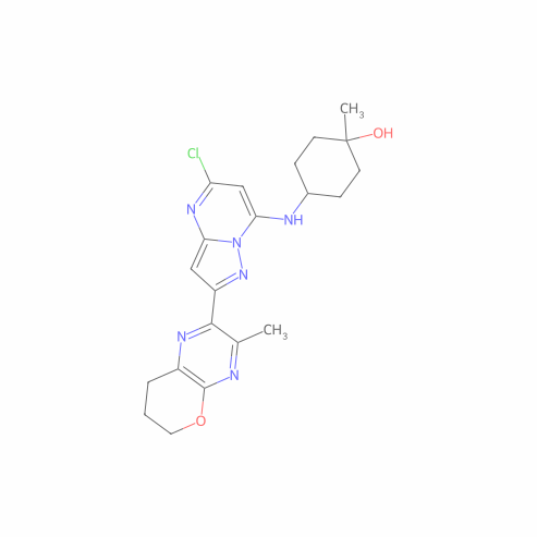 Cc1nc2c(nc1-c1cc3nc(Cl)cc(NC4CCC(C)(O)CC4)n3n1)CCCO2